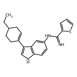 CCC1CC=C(c2c[nH]c3ccc(NC(=N)c4cccs4)cc23)CC1